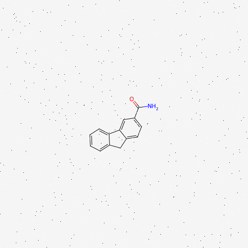 NC(=O)c1ccc2c(c1)-c1ccccc1C2